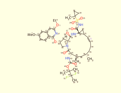 CCOc1cc2cc(OC)ccc2c(O[C@@H]2C[C@H]3C(=O)N[C@]4(C(=O)NS(=O)(=O)C5(C)CC5)CC4/C=C\CC[C@H](C)C[C@@H](C)[C@H](NC(=O)OC(C)(C)C(C)(F)F)C(=O)N3C2)n1